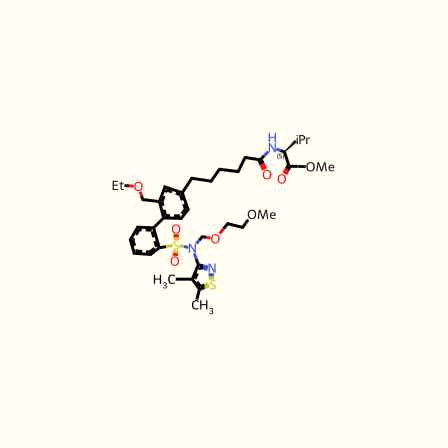 CCOCc1cc(CCCCCC(=O)N[C@H](C(=O)OC)C(C)C)ccc1-c1ccccc1S(=O)(=O)N(COCCOC)c1nsc(C)c1C